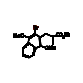 CCOC(=O)C(C)Cc1c(Br)c(OC)c2ccccc2c1OC